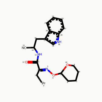 CC(C)CC(=NOC1CCCCO1)C(=O)NC(C#N)Cc1c[nH]c2ccccc12